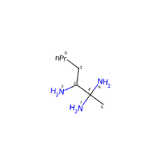 CCCCC(N)C(C)(N)N